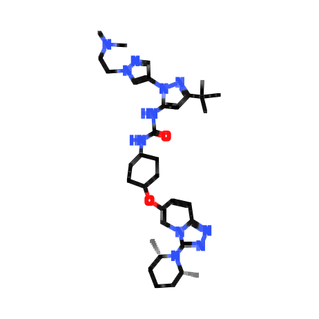 C[C@@H]1CCC[C@H](C)N1c1nnc2ccc(OC3CCC(NC(=O)Nc4cc(C(C)(C)C)nn4-c4cnn(CCN(C)C)c4)CC3)cn12